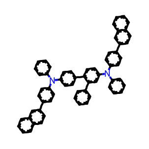 c1ccc(-c2cc(N(c3ccccc3)c3ccc(-c4ccc5ccccc5c4)cc3)ccc2-c2ccc(N(c3ccccc3)c3ccc(-c4ccc5ccccc5c4)cc3)cc2)cc1